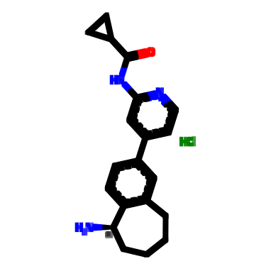 Cl.N[C@@H]1CCCCc2cc(-c3ccnc(NC(=O)C4CC4)c3)ccc21